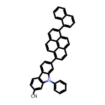 N#Cc1ccc2c3ccc(-c4ccc5ccc6c(-c7cccc8ccccc78)ccc7ccc4c5c76)cc3n(-c3ccccc3)c2c1